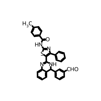 Cc1ccc(C(=O)Nc2nc(-c3ccccc3)c(C3=Nc4ccccc4C(c4cccc(C=O)c4)N3)s2)cc1